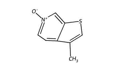 Cc1csc2c[n+]([O-])ccc12